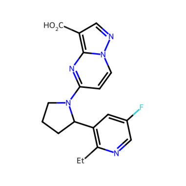 CCc1ncc(F)cc1C1CCCN1c1ccn2ncc(C(=O)O)c2n1